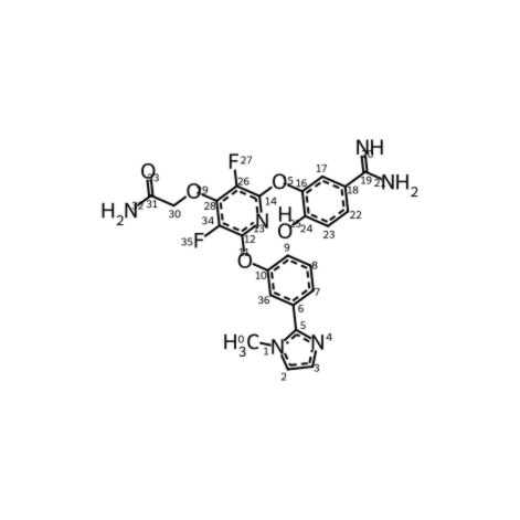 Cn1ccnc1-c1cccc(Oc2nc(Oc3cc(C(=N)N)ccc3O)c(F)c(OCC(N)=O)c2F)c1